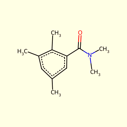 Cc1cc(C)c(C)c(C(=O)N(C)C)c1